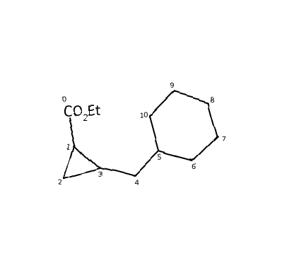 CCOC(=O)C1CC1CC1CCCCC1